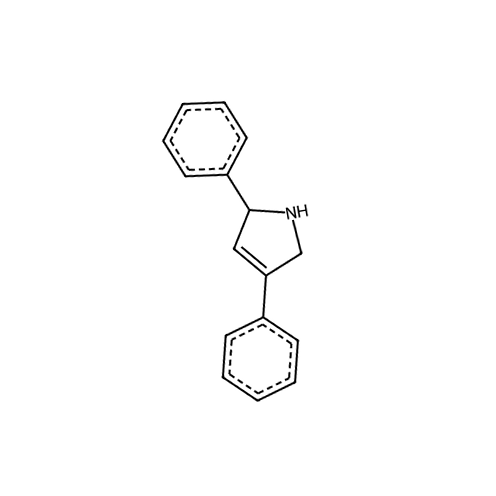 C1=C(c2ccccc2)CNC1c1ccccc1